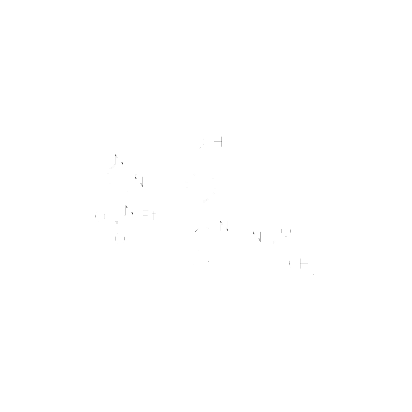 C=CC(=O)N1CCN([C@@H](CC2CC2)c2ccc([C@H](C)CCCc3ncc4c(n3)N(CC)C(=O)OC4)cc2)CC1